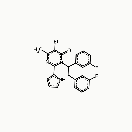 CCc1c(C)nc(-c2ccc[nH]2)n(C(Cc2cccc(F)c2)c2cccc(F)c2)c1=O